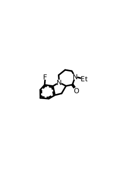 CCN1CCCN2c3c(F)cccc3CC2C1=O